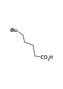 [CH2]C(CC)CCCCC(=O)O